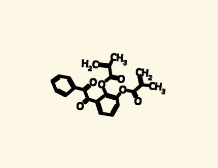 C=C(C)C(=O)Oc1cccc(C(=O)C(=O)c2ccccc2)c1OC(=O)C(=C)C